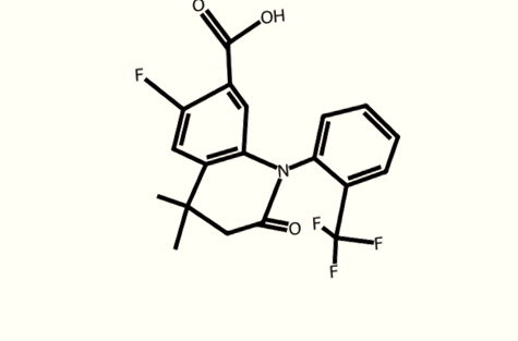 CC1(C)CC(=O)N(c2ccccc2C(F)(F)F)c2cc(C(=O)O)c(F)cc21